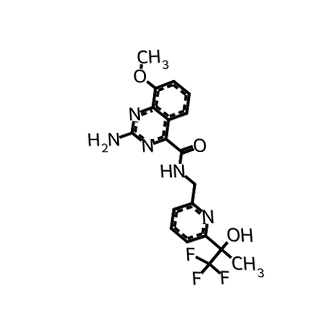 COc1cccc2c(C(=O)NCc3cccc(C(C)(O)C(F)(F)F)n3)nc(N)nc12